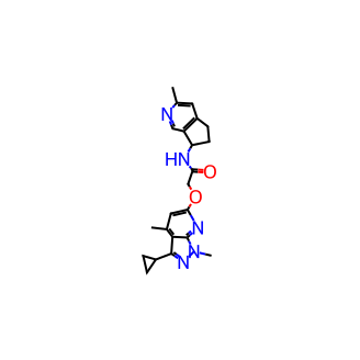 Cc1cc2c(cn1)C(NC(=O)COc1cc(C)c3c(C4CC4)nn(C)c3n1)CC2